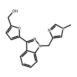 Cn1cnc(Cn2nc(-c3ccc(CO)o3)c3ccccc32)c1